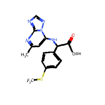 COC(=O)C(Nc1cc(C)nc2ncnn12)c1ccc(SC(F)(F)F)cc1